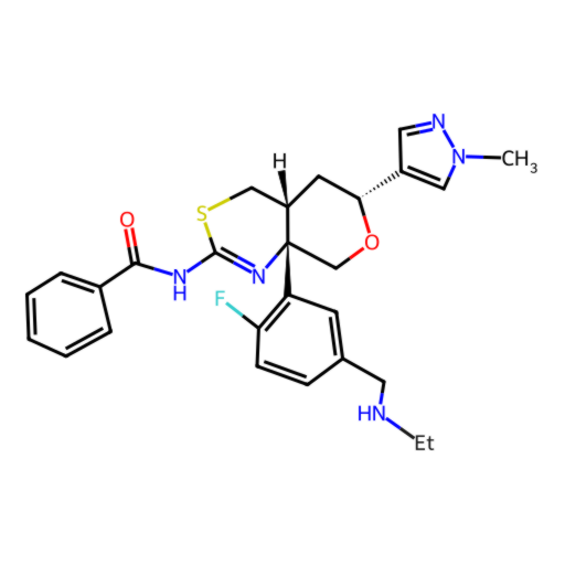 CCNCc1ccc(F)c([C@]23CO[C@@H](c4cnn(C)c4)C[C@H]2CSC(NC(=O)c2ccccc2)=N3)c1